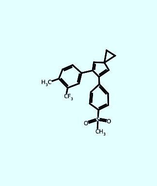 Cc1ccc(C2=CC3(C=C2c2ccc(S(C)(=O)=O)cc2)CC3)cc1C(F)(F)F